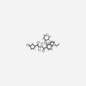 CCn1ncc2c(NC3CCOCC3)c(C(=O)NNC(=O)C3CCC(=O)C3)cnc21